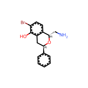 NC[C@@H]1O[C@@H](c2ccccc2)Cc2c1ccc(Br)c2O